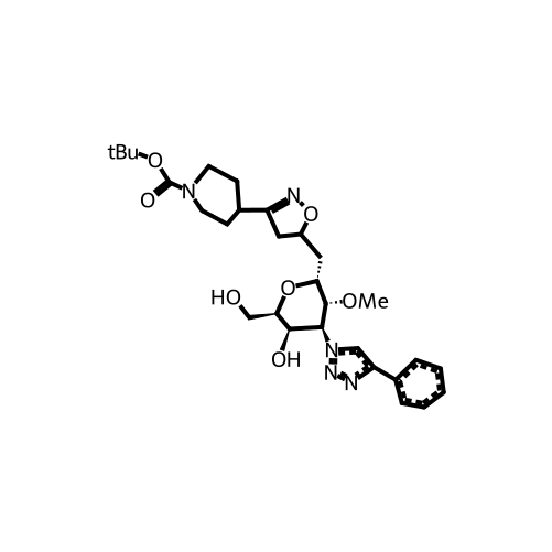 CO[C@@H]1[C@@H](n2cc(-c3ccccc3)nn2)[C@@H](O)[C@@H](CO)O[C@@H]1CC1CC(C2CCN(C(=O)OC(C)(C)C)CC2)=NO1